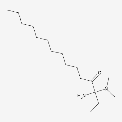 CCCCCCCCCCCC(=O)C(N)(CC)N(C)C